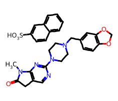 CN1C(=O)Cc2cnc(N3CCN(Cc4ccc5c(c4)OCO5)CC3)nc21.O=S(=O)(O)c1ccc2ccccc2c1